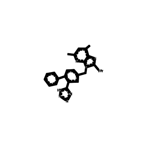 CCCc1nc2c(C)cc(C)nc2n1Cc1ccc(-c2ccccc2)c(-c2nnn[nH]2)c1